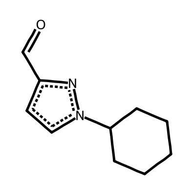 O=Cc1ccn(C2CCCCC2)n1